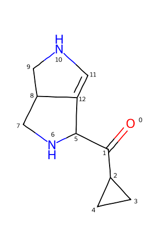 O=C(C1CC1)C1NCC2CNC=C21